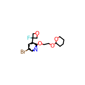 FC1(c2cc(Br)cnc2OCCOC2CCCCO2)COC1